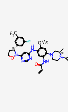 C=CC(=O)Nc1cc(Nc2cc(N3OCC[C@@H]3c3cc(F)cc(C(F)(F)F)c3)ncn2)c(OC)cc1N1CCN(C2CC2)[C@H](C)C1